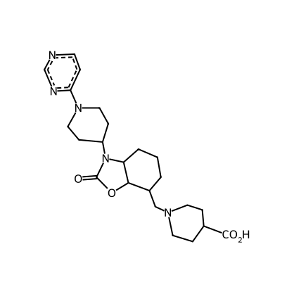 O=C(O)C1CCN(CC2CCCC3C2OC(=O)N3C2CCN(c3ccncn3)CC2)CC1